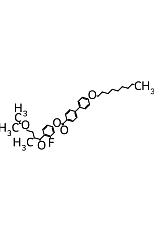 CCCCCCCCCOc1ccc(-c2ccc(C(=O)Oc3ccc(C(=O)[C@H](C)CCOC(C)C)c(F)c3)cc2)cc1